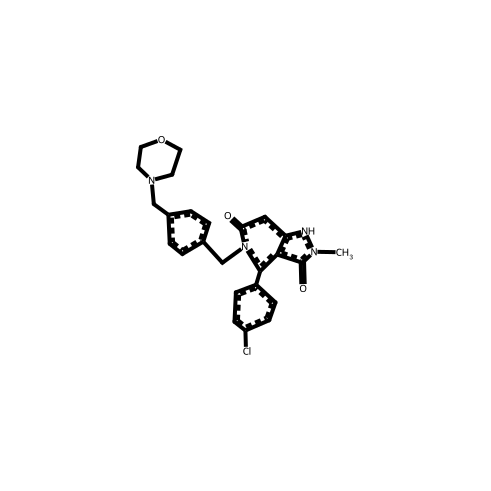 Cn1[nH]c2cc(=O)n(Cc3ccc(CN4CCOCC4)cc3)c(-c3ccc(Cl)cc3)c2c1=O